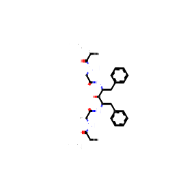 CC(=O)N[C@H](C(=O)N[C@H](C(=O)NC(Cc1ccccc1)C(O)C(Cc1ccccc1)NC(=O)[C@@H](NC(=O)[C@@H](NC(C)=O)C(C)C)C(C)C)C(C)C)C(C)C